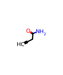 C#CCC(N)=O